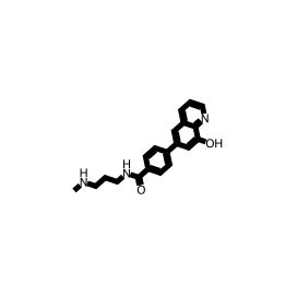 CNCCCNC(=O)c1ccc(-c2cc(O)c3ncccc3c2)cc1